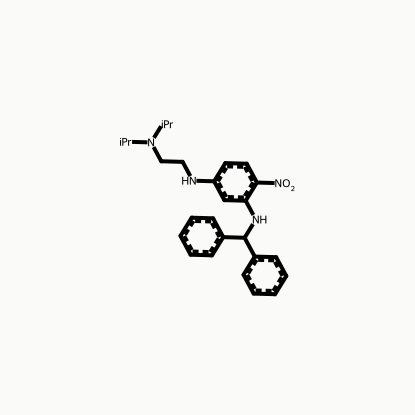 CC(C)N(CCNc1ccc([N+](=O)[O-])c(NC(c2ccccc2)c2ccccc2)c1)C(C)C